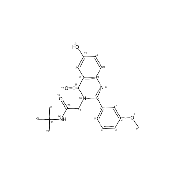 COc1cccc(-c2nc3ccc(O)cc3c(=O)n2CC(=O)NC(C)(C)C)c1